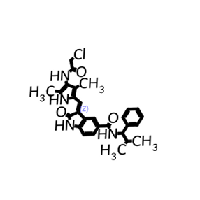 Cc1[nH]c(/C=C2\C(=O)Nc3ccc(C(=O)NC(c4ccccc4)C(C)C)cc32)c(C)c1NC(=O)CCl